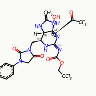 C=C1N[C@H]2[C@H](CN3C(=O)CN(c4ccccc4)C3=O)N/C(=N\C(=O)OCC(Cl)(Cl)Cl)N3C[C@H](C(=O)C(F)(F)F)[C@H](O)[C@]23N1